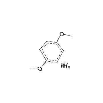 COc1ccc(OC)cc1.N